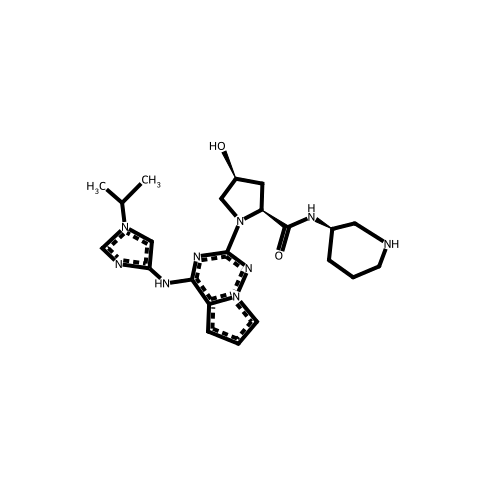 CC(C)n1cnc(Nc2nc(N3C[C@@H](O)C[C@H]3C(=O)N[C@@H]3CCCNC3)nn3cccc23)c1